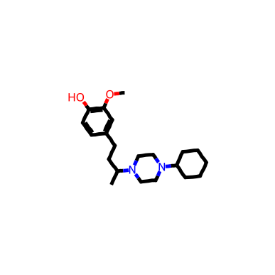 COc1cc(CCC(C)N2CCN(C3CCCCC3)CC2)ccc1O